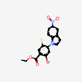 CCOC(=O)c1cc(F)c(-n2ccc3cc([N+](=O)[O-])ccc32)cc1Br